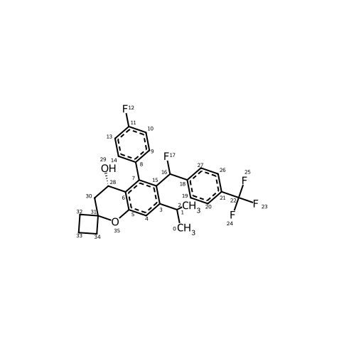 CC(C)c1cc2c(c(-c3ccc(F)cc3)c1C(F)c1ccc(C(F)(F)F)cc1)[C@@H](O)CC1(CCC1)O2